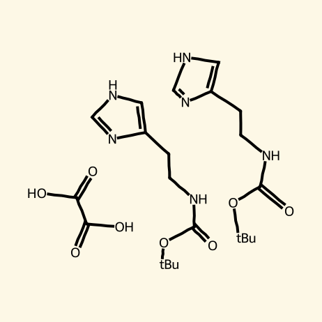 CC(C)(C)OC(=O)NCCc1c[nH]cn1.CC(C)(C)OC(=O)NCCc1c[nH]cn1.O=C(O)C(=O)O